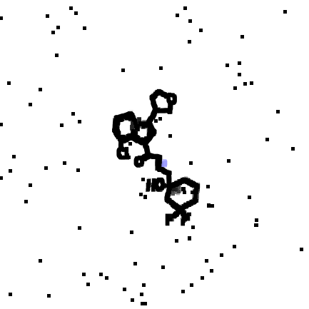 O=C(/C=C/C[C@@]1(O)CCCC(F)(F)C1)c1cc(C2CCOC2)n2cccc(Cl)c12